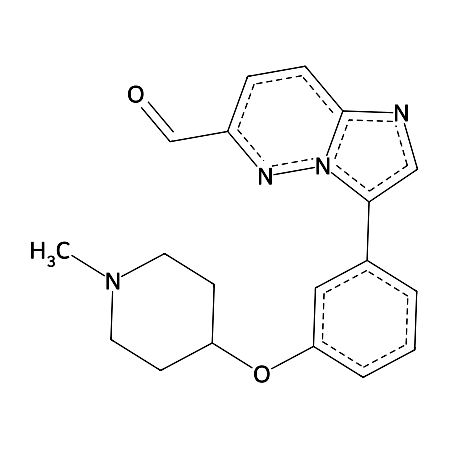 CN1CCC(Oc2cccc(-c3cnc4ccc(C=O)nn34)c2)CC1